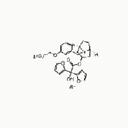 CCOC(=O)COc1cccc(C[N+]2(C)[C@@H]3CC[C@H]2CC(OC(=O)C(O)(c2ccco2)c2ccco2)C3)c1.[Br-]